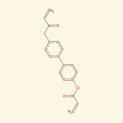 C=CC(=O)Cc1ccc(-c2ccc(OC(=O)C=C)cc2)cc1